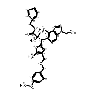 CCn1nnc2c(C)c([C@H](c3cc(COCc4ccc(OC)cc4)c(C)s3)C(C)(C)C(=O)OCc3ccccc3)ccc21